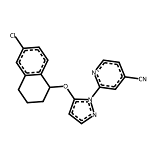 N#Cc1ccnc(-n2nccc2OC2CCCc3cc(Cl)ccc32)c1